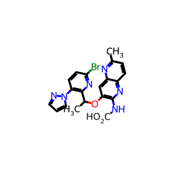 Cc1ccc2nc(NC(=O)O)c(OC(C)c3nc(Br)ccc3-n3cccn3)cc2n1